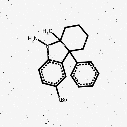 CC(C)(C)c1ccc2c(c1)C1(c3ccccc3)CCCCC1(C)N2N